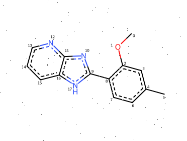 COc1cc(C)ccc1-c1nc2ncccc2[nH]1